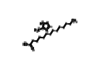 CCCCCCCCCCCCCC(=O)O.Cc1ncc[nH]1